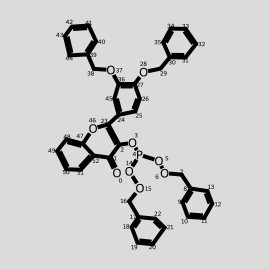 O=c1c(OP(OOCc2ccccc2)OOCc2ccccc2)c(-c2ccc(OCc3ccccc3)c(OCc3ccccc3)c2)oc2ccccc12